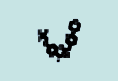 C[C@@H](NC(=O)Cc1ccc(N2CCOCC2)nc1)c1ccc(OCC(F)(F)F)cn1